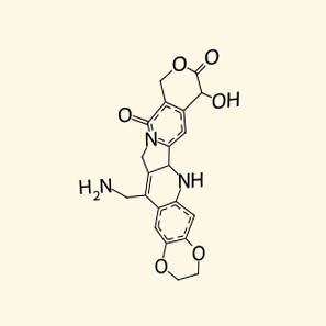 NCC1=C2Cn3c(cc4c(c3=O)COC(=O)C4O)C2Nc2cc3c(cc21)OCCO3